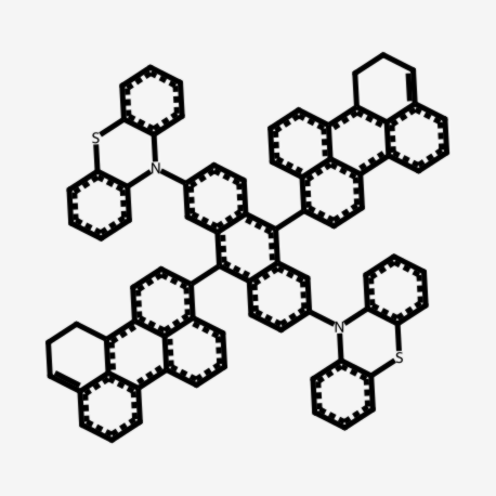 C1=c2cccc3c2c(c2ccc(-c4c5ccc(N6c7ccccc7Sc7ccccc76)cc5c(-c5ccc6c7cccc8c7c(c7cccc5c76)CCC=8)c5ccc(N6c7ccccc7Sc7ccccc76)cc45)c4cccc3c42)CC1